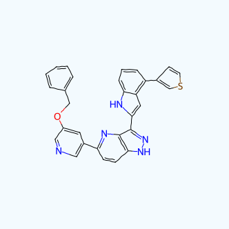 c1ccc(COc2cncc(-c3ccc4[nH]nc(-c5cc6c(-c7ccsc7)cccc6[nH]5)c4n3)c2)cc1